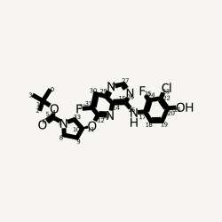 CC(C)(C)OC(=O)N1CC[C@H](Oc2nc3c(Nc4ccc(O)c(Cl)c4F)ncnc3cc2F)C1